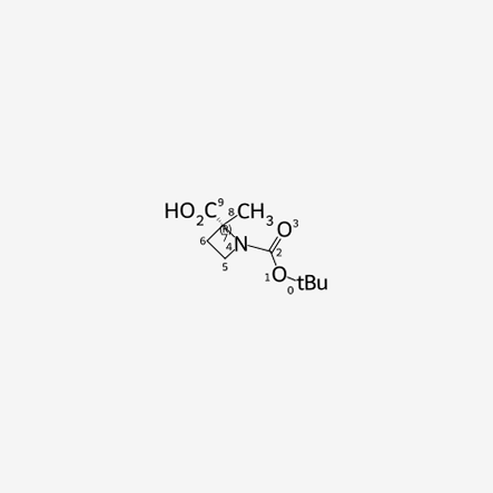 CC(C)(C)OC(=O)N1CC[C@]1(C)C(=O)O